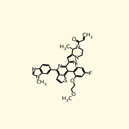 C=CC(=O)N1CCn2nc(-c3nc(-c4ccc5ncn(C)c5c4)c4ccsc4c3-c3c(F)cc(F)cc3OCCOC)cc2[C@H]1C